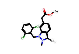 CN1C(C(F)(F)F)c2ccc(CC(=O)OC(C)(C)C)cc2N1CC1C(Cl)=CC=CC1Cl